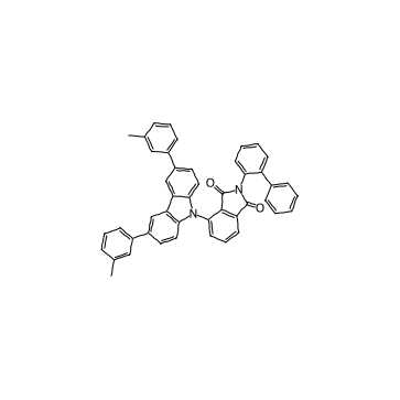 Cc1cccc(-c2ccc3c(c2)c2cc(-c4cccc(C)c4)ccc2n3-c2cccc3c2C(=O)N(c2ccccc2-c2ccccc2)C3=O)c1